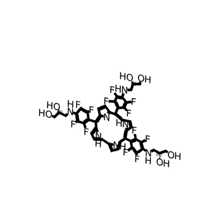 OC[C@H](O)CNc1c(F)c(F)c(-c2c3nc(c(-c4c(F)c(F)c(NC[C@@H](O)CO)c(F)c4F)c4ccc([nH]4)c4ccc([nH]4)c(-c4c(F)c(F)c(NC[C@@H](O)CO)c(F)c4F)c4ccc2[nH]4)C=C3)c(F)c1F